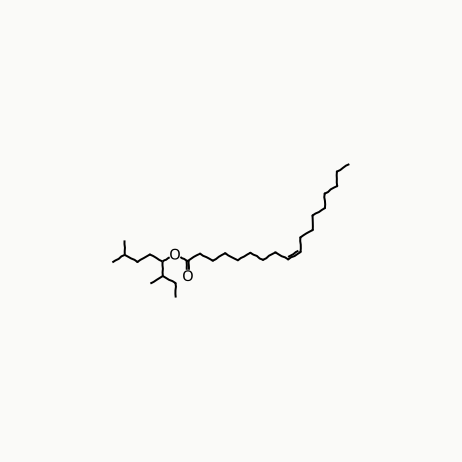 CCCCCCCC/C=C\CCCCCCCC(=O)OC(CCC(C)C)C(C)CC